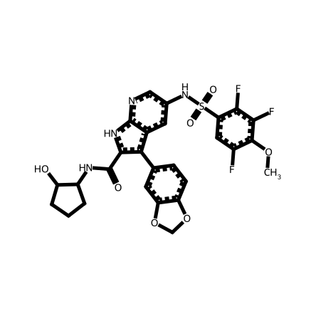 COc1c(F)cc(S(=O)(=O)Nc2cnc3[nH]c(C(=O)NC4CCCC4O)c(-c4ccc5c(c4)OCO5)c3c2)c(F)c1F